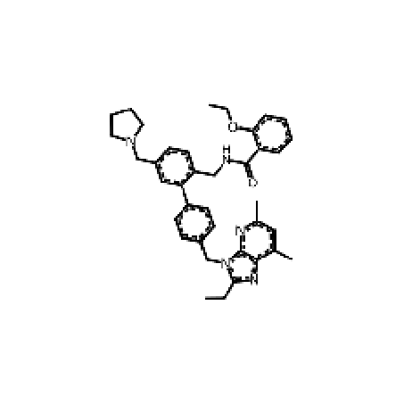 CCOc1ccccc1C(=O)NCc1ccc(CN2CCCC2)cc1-c1ccc(Cn2c(CC)nc3c(C)cc(C)nc32)cc1